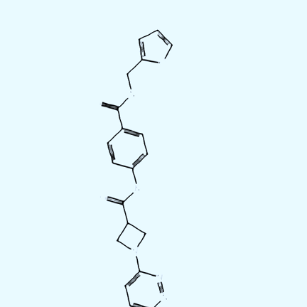 O=C(NCc1ccco1)c1ccc(NC(=O)C2CN(c3cccnn3)C2)cc1